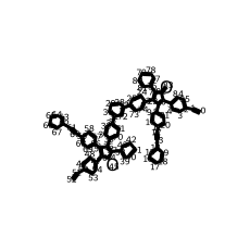 C#Cc1ccc(C2=C(c3ccc(C#Cc4ccccc4)cc3)C(c3ccc(-c4cccc(-c5ccc(C6=C(c7ccccc7)C(=O)C(c7ccc(C#C)cc7)=C6c6ccc(C#Cc7ccccc7)cc6)cc5)c4)cc3)=C(c3ccccc3)C2=O)cc1